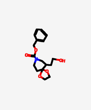 O=C(OCc1ccccc1)N1CCC2(OCCO2)C(CCO)C1